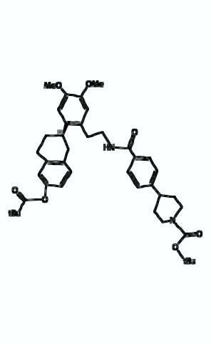 COc1cc(CCNC(=O)c2ccc(C3CCN(C(=O)OC(C)(C)C)CC3)cc2)c([C@@H]2CCc3cc(OC(=O)C(C)(C)C)ccc3C2)cc1OC